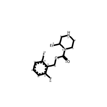 CCC1CNCCN1C(=O)OCc1c(F)cccc1F